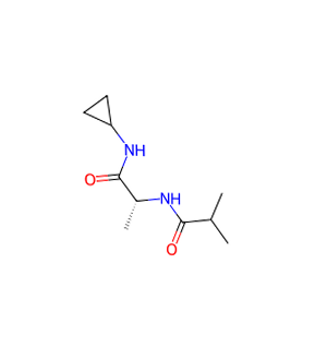 CC(C)C(=O)N[C@H](C)C(=O)NC1CC1